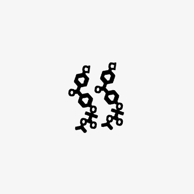 CC(C)OC(=O)C(C)(C)Oc1ccc(C(=O)c2ccc(Cl)cc2)cc1.CC(C)OC(=O)C(C)(C)Oc1ccc(C(=O)c2ccc(Cl)cc2)cc1